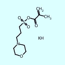 C=C(C)C(=O)OS(=O)(=O)CCCN1CCOCC1.[KH]